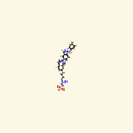 CS(=O)(=O)CCNCCCCc1ccc2cnc(-c3ccc4c(cnn4Cc4ccccc4)c3)nc2c1